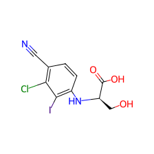 N#Cc1ccc(N[C@H](CO)C(=O)O)c(I)c1Cl